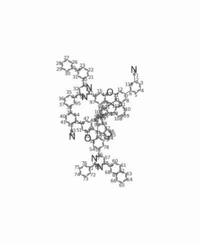 N#Cc1cccc(-c2ccc3c(c2)Oc2cc(-c4nc(-c5cccc(-c6ccccc6)c5)cc(-c5cccc(-c6ccc(C#N)c(-c7ccc8c(c7)Oc7cc(-c9cc(-c%10ccc%11ccccc%11c%10)nc(-c%10ccccc%10)n9)ccc7C87c8ccccc8-c8ccccc87)c6)c5)n4)ccc2C32c3ccccc3-c3ccccc32)c1